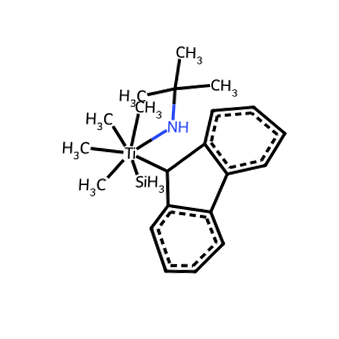 CC(C)(C)[NH][Ti]([CH3])([CH3])([CH3])([CH3])([SiH3])[CH]1c2ccccc2-c2ccccc21